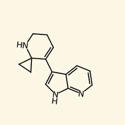 C1=C(c2c[nH]c3ncccc23)C2(CC2)NCC1